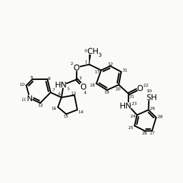 C[C@H](OC(=O)NC1(c2cccnc2)CCCC1)c1ccc(C(=O)Nc2ccccc2S)cc1